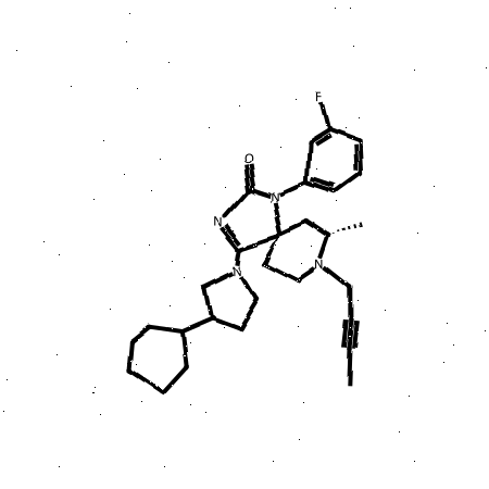 CC#CCN1CC[C@@]2(C[C@@H]1C)C(N1CCC(C3CCCCC3)C1)=NC(=O)N2c1cccc(F)c1